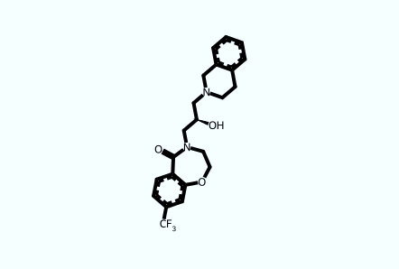 O=C1c2ccc(C(F)(F)F)cc2OCCN1C[C@H](O)CN1CCc2ccccc2C1